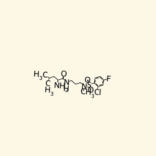 CC(C)C[C@H](N)C(=O)NCCCN(C)S(=O)(=O)c1ccc(F)cc1Cl